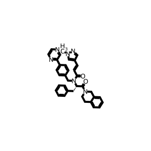 Cn1cc(C=CC(=O)N(Cc2ccc(-c3cnccn3)cc2)[C@@H](Cc2ccccc2)C(=O)N2CCc3ccccc3C2)cn1